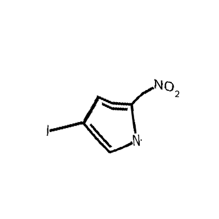 O=[N+]([O-])C1=CC(I)=C[N]1